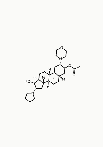 CC(=O)O[C@H]1C[C@@H]2CC[C@@H]3[C@H](CC[C@]4(C)[C@@H](O)[C@@H](N5CCCC5)C[C@@H]34)[C@@]2(C)C[C@@H]1N1CCOCC1